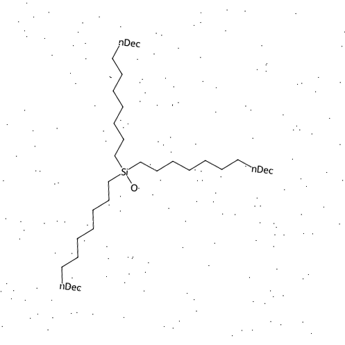 CCCCCCCCCCCCCCCCC[Si]([O])(CCCCCCCCCCCCCCCCC)CCCCCCCCCCCCCCCCC